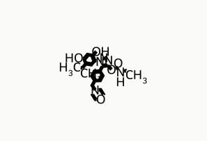 CCNC(=O)Oc1nnn(-c2cc(C(C)C)c(O)cc2O)c1-c1ccc(CN2CCOCC2)cc1